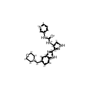 O=C(Nc1cccnc1)Nc1c[nH]nc1-c1nc2cc(CN3CCOCC3)ccc2[nH]1